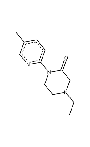 CCN1CCN(c2ccc(C)cn2)C(=O)C1